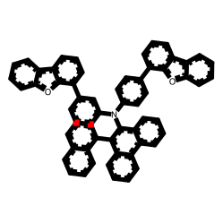 c1cc(-c2cccc3c2oc2ccccc23)cc(N(c2ccc(-c3cccc4c3oc3ccccc34)cc2)c2c(-c3cccc4ccccc34)c3ccccc3c3ccccc23)c1